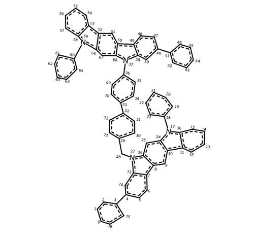 c1ccc(-c2ccc3c4cc5c6ccccc6n(-c6ccccc6)c5cc4n(Cc4ccc(-c5ccc(-n6c7cc(-c8ccccc8)ccc7c7cc8c9ccccc9n(-c9ccccc9)c8cc76)cc5)cc4)c3c2)cc1